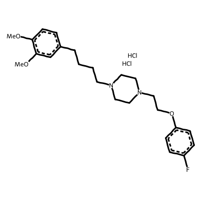 COc1ccc(CCCCN2CCN(CCOc3ccc(F)cc3)CC2)cc1OC.Cl.Cl